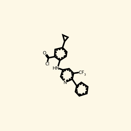 O=C(Cl)c1cc(C2CC2)ccc1Nc1cnc(-c2ccccc2)c(C(F)(F)F)c1